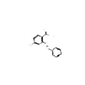 Nc1ccc(C(=O)O)c(N=Nc2ccccc2)c1